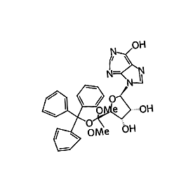 COC(OC)(OC(c1ccccc1)(c1ccccc1)c1ccccc1)[C@H]1O[C@@H](n2cnc3c(O)ncnc32)[C@H](O)[C@@H]1O